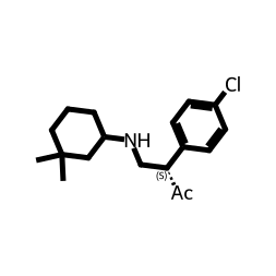 CC(=O)[C@H](CNC1CCCC(C)(C)C1)c1ccc(Cl)cc1